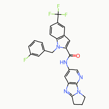 O=C(Nc1cnc2c(c1)nc1n2CCC1)c1cc2cc(C(F)(F)F)ccc2n1Cc1cccc(F)c1